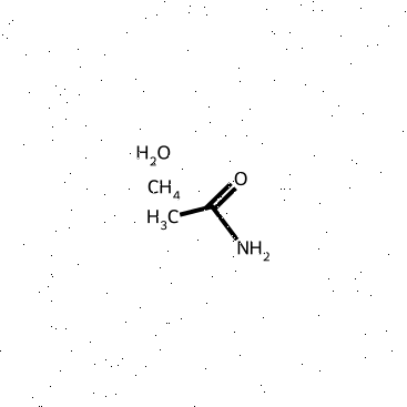 C.CC(N)=O.O